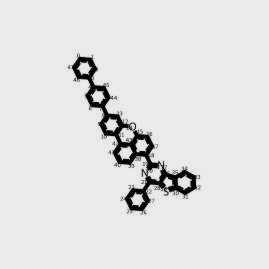 c1ccc(-c2ccc(-c3ccc4c(c3)Oc3ccc(-c5nc(-c6ccccc6)c6sc7ccccc7c6n5)c5cccc-4c35)cc2)cc1